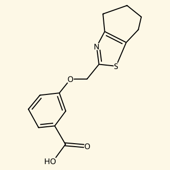 O=C(O)c1cccc(OCc2nc3c(s2)CCCC3)c1